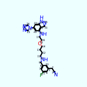 N#CCc1cc(F)cc(CNCCCCOCCNc2cc(-n3cnnc3)cc3[nH]ncc23)c1